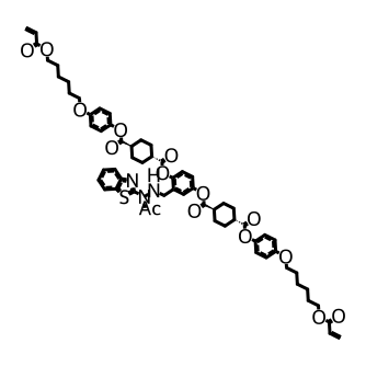 C=CC(=O)OCCCCCCOc1ccc(OC(=O)[C@H]2CC[C@H](C(=O)Oc3ccc(OC(=O)[C@H]4CC[C@H](C(=O)Oc5ccc(OCCCCCCOC(=O)C=C)cc5)CC4)c(CNN(C(C)=O)c4nc5ccccc5s4)c3)CC2)cc1